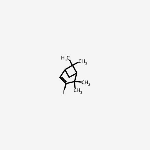 CC1(C)C(I)=CC2CC1C2(C)C